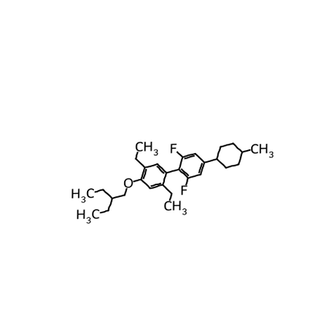 CCc1cc(-c2c(F)cc(C3CCC(C)CC3)cc2F)c(CC)cc1OCC(CC)CC